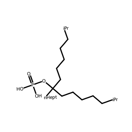 CCCCCCCC(CCCCCC(C)C)(CCCCCC(C)C)OP(=O)(O)O